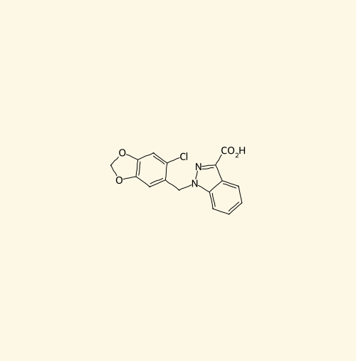 O=C(O)c1nn(Cc2cc3c(cc2Cl)OCO3)c2ccccc12